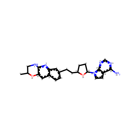 CC1CNc2nc3cc(CCC4CCC(n5ccc6c(N)ncnc65)O4)ccc3cc2O1